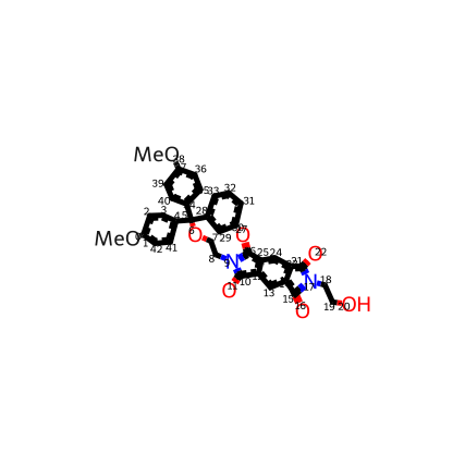 COc1ccc(C(OCCn2c(=O)c3cc4c(=O)n(CCO)c(=O)c4cc3c2=O)(c2ccccc2)c2ccc(OC)cc2)cc1